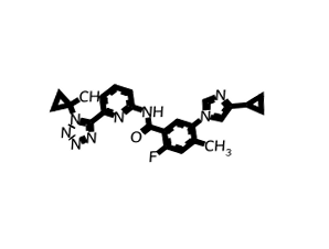 Cc1cc(F)c(C(=O)Nc2cccc(-c3nnnn3C3(C)CC3)n2)cc1-n1cnc(C2CC2)c1